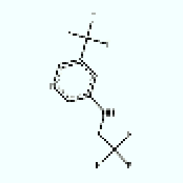 FC(F)(F)CNc1cncc(C(F)(F)F)c1